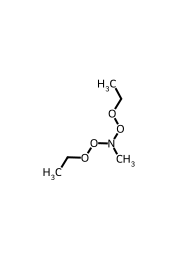 CCOON(C)OOCC